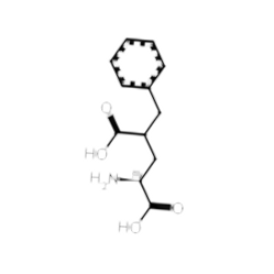 N[C@@H](CC(Cc1ccccc1)C(=O)O)C(=O)O